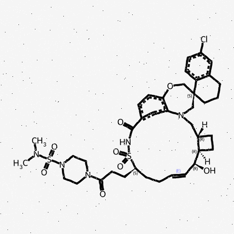 CN(C)S(=O)(=O)N1CCN(C(=O)CC[C@@H]2CC/C=C/[C@H](O)[C@@H]3CC[C@H]3CN3C[C@@]4(CCCc5cc(Cl)ccc54)COc4ccc(cc43)C(=O)NS2(=O)=O)CC1